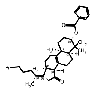 CC(C)CCC[C@@H](C)[C@H]1CC(=O)[C@H]2C3=C(CC[C@@]21C)[C@@]1(C)CC[C@H](OC(=O)c2ccccc2)C(C)(C)[C@H]1CC3